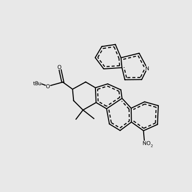 CC(C)(C)OC(=O)C1Cc2ccc3c(ccc4c([N+](=O)[O-])cccc43)c2C(C)(C)C1.c1ccc2cnccc2c1